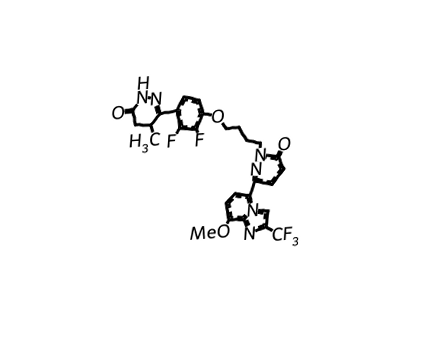 COc1ccc(-c2ccc(=O)n(CCCCOc3ccc(C4=NNC(=O)CC4C)c(F)c3F)n2)n2cc(C(F)(F)F)nc12